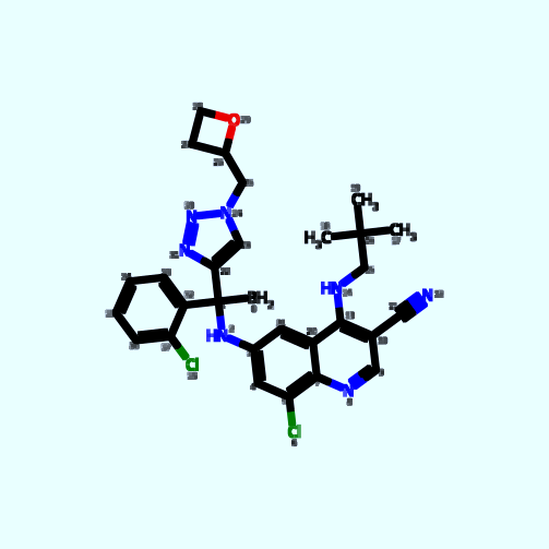 BC(Nc1cc(Cl)c2ncc(C#N)c(NCC(C)(C)C)c2c1)(c1cn(CC2CCO2)nn1)c1ccccc1Cl